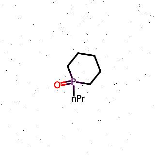 CCCP1(=O)CCCCC1